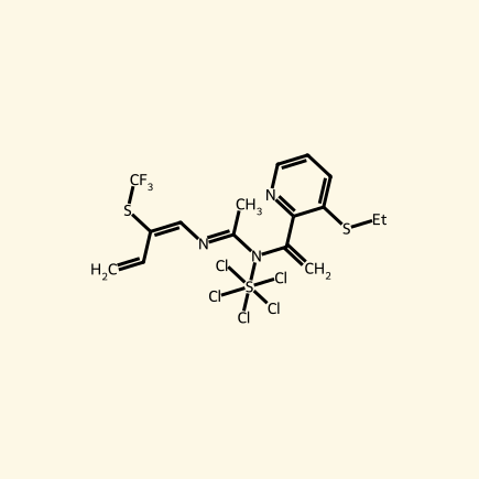 C=C/C(=C\N=C(/C)N(C(=C)c1ncccc1SCC)S(Cl)(Cl)(Cl)(Cl)Cl)SC(F)(F)F